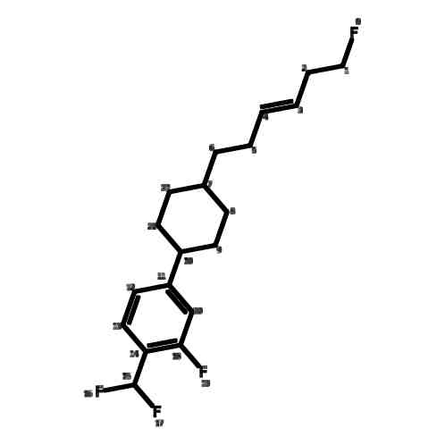 FCC/C=C/CCC1CCC(c2ccc(C(F)F)c(F)c2)CC1